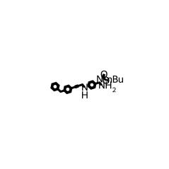 CCCCOC(=O)N=C(N)c1ccc(NCC#Cc2ccc(Cc3ccccc3)cc2)cc1